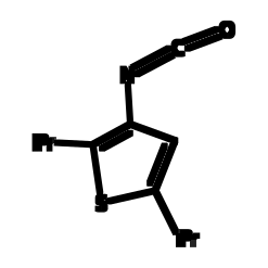 CC(C)c1cc(N=C=O)c(C(C)C)s1